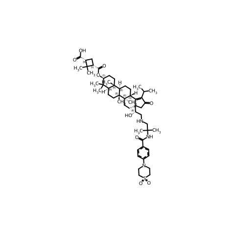 CC(C)C1=C2[C@H]3CC[C@@H]4[C@@]5(C)CC[C@H](OC(=O)[C@H]6C[C@@H](C(=O)O)C6(C)C)C(C)(C)[C@@H]5CC[C@@]4(C)[C@]3(C)CC[C@@]2([C@@H](O)CNCC(C)(C)NC(=O)c2ccc(N3CCS(=O)(=O)CC3)cc2)CC1=O